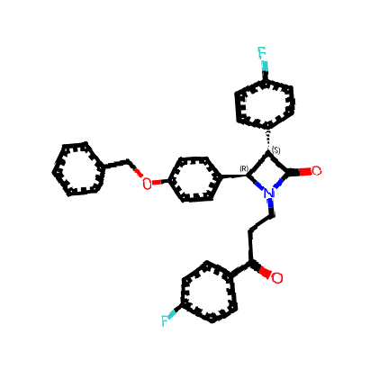 O=C(CCN1C(=O)[C@@H](c2ccc(F)cc2)[C@@H]1c1ccc(OCc2ccccc2)cc1)c1ccc(F)cc1